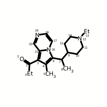 CCC(=O)c1c(C)c(C(C)C2CCN(CC)CC2)n2ccncc12